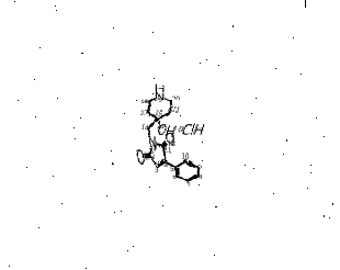 Cl.O=C1C=C(c2ccccc2)C(=O)N1CC1(O)CCNCC1